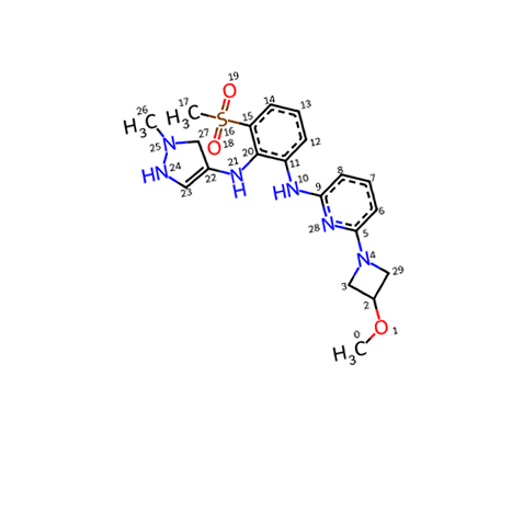 COC1CN(c2cccc(Nc3cccc(S(C)(=O)=O)c3NC3=CNN(C)C3)n2)C1